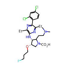 CCc1nc(-c2ccc(Cl)cc2Cl)c(CC)nc1N[C@@H]1C(CCN(C)C)N(C(=O)O)C[C@@H]1OCCCF